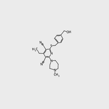 CCc1c(C#N)c(SCc2ccc(CO)cc2)nc(N2CCCN(C)CC2)c1C#N